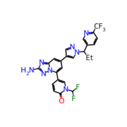 CCC(c1ccc(C(F)(F)F)nc1)n1cc(-c2cc(-c3ccc(=O)n(C(F)F)c3)n3nc(N)nc3c2)cn1